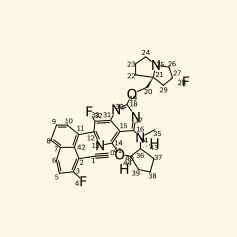 C#Cc1c(F)ccc2cccc(-c3nc4c5c(nc(OC[C@@]67CCCN6C[C@H](F)C7)nc5c3F)N(C)[C@H]3CCC[C@H]3O4)c12